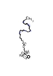 CC/C=C\C/C=C\C/C=C\C/C=C\C/C=C\CCCCSCC(=O)OCCNC(=O)c1ccccc1O